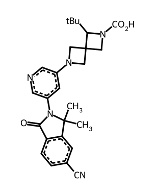 CC(C)(C)C1N(C(=O)O)CC12CN(c1cncc(N3C(=O)c4ccc(C#N)cc4C3(C)C)c1)C2